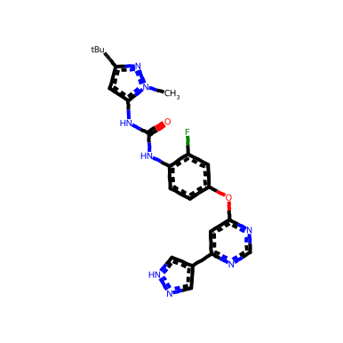 Cn1nc(C(C)(C)C)cc1NC(=O)Nc1ccc(Oc2cc(-c3cn[nH]c3)ncn2)cc1F